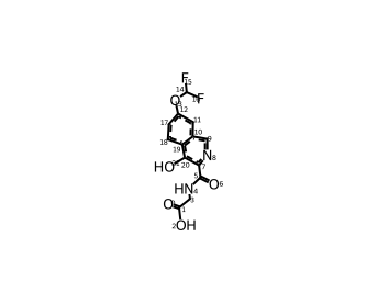 O=C(O)CNC(=O)c1ncc2cc(OC(F)F)ccc2c1O